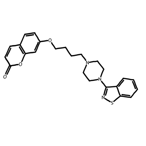 O=c1ccc2ccc(OCCCCN3CCN(c4nsc5ccccc45)CC3)cc2o1